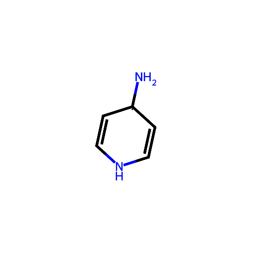 N[C]1C=CNC=C1